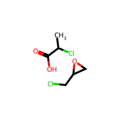 CC(Cl)C(=O)O.ClCC1CO1